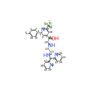 Cc1ccc(-c2cc([C@@H](O)CNCCNC(c3ccccn3)c3ccccn3)cc(C(F)(F)F)n2)cc1